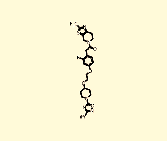 CC(C)c1noc(N2CCC(OCCOc3ccc(CC(=O)N4CCc5nc(C(F)(F)F)sc5C4)c(F)c3)CC2)n1